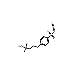 C[Si](C)(O)CCCc1ccc(S(=O)(=O)N=[N+]=[N-])cc1